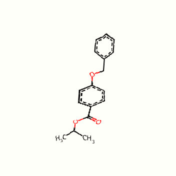 CC(C)OC(=O)c1ccc(OCc2ccccc2)cc1